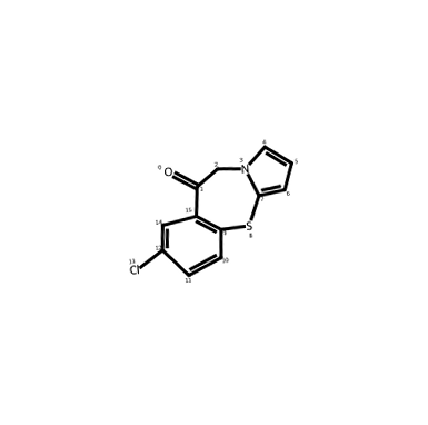 O=C1Cn2cccc2Sc2ccc(Cl)cc21